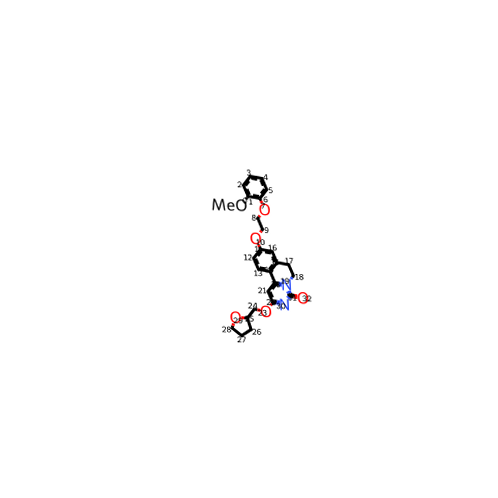 COc1ccccc1OCCOc1ccc2c(c1)CCn1c-2cc(OCC2CCCO2)nc1=O